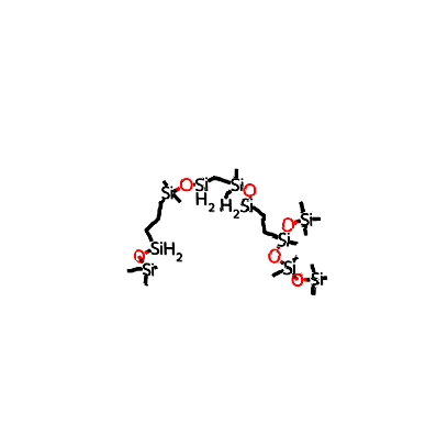 C[Si](C)(C)O[SiH2]CCC[Si](C)(C)O[SiH2]C[Si](C)(C)O[SiH2]CC[Si](C)(O[Si](C)(C)C)O[Si](C)(C)O[Si](C)(C)C